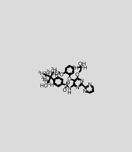 [2H]C([2H])(O)COc1nc(-c2ncccn2)nc(NS(=O)(=O)c2ccc(C(C([2H])([2H])[2H])(C([2H])([2H])[2H])C([2H])([2H])O)cc2)c1Oc1ccccc1OCC